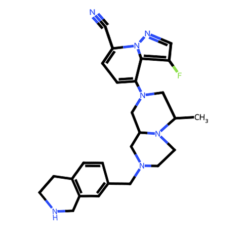 CC1CN(c2ccc(C#N)n3ncc(F)c23)CC2CN(Cc3ccc4c(c3)CNCC4)CCN12